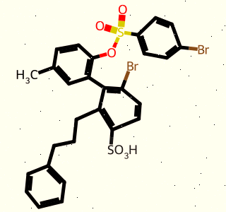 Cc1ccc(OS(=O)(=O)c2ccc(Br)cc2)c(-c2c(Br)ccc(S(=O)(=O)O)c2CCCc2ccccc2)c1